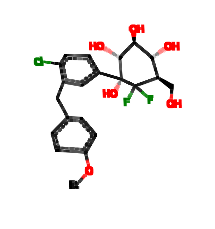 CCOc1ccc(Cc2cc([C@@]3(O)[C@H](O)[C@@H](O)[C@H](O)[C@@H](CO)C3(F)F)ccc2Cl)cc1